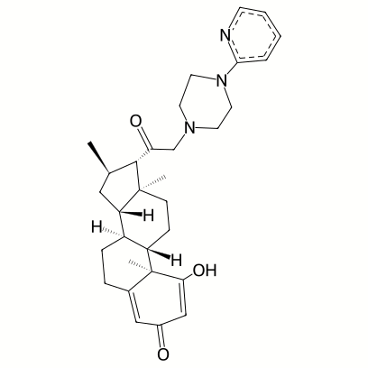 C[C@@H]1C[C@H]2[C@@H]3CCC4=CC(=O)C=C(O)[C@]4(C)[C@H]3CC[C@]2(C)[C@H]1C(=O)CN1CCN(c2ccccn2)CC1